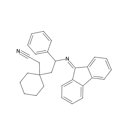 N#CCC1(CC(N=C2c3ccccc3-c3ccccc32)c2ccccc2)CCCCC1